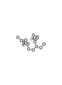 O=c1c2cc(-c3cccc(-c4cccc(-c5cc(-c6cccc(-c7ccccc7)c6)cc(-c6ccc7c(c6)c6ccnc8c9ccccc9c(=O)n7c68)c5)c4)c3)cnc2c2cccc3c4cc(-c5ccccc5)ccc4n1c32